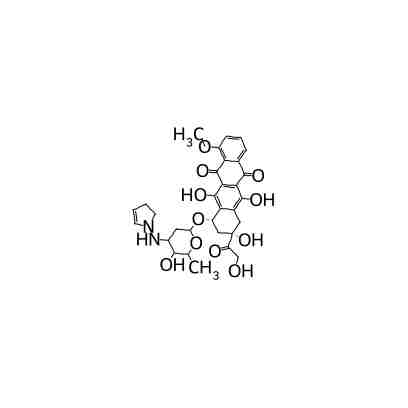 COc1cccc2c1C(=O)c1c(O)c3c(c(O)c1C2=O)C[C@@](O)(C(=O)CO)C[C@@H]3OC1CC(NN2C=CCC2)C(O)C(C)O1